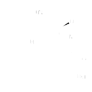 CCc1cc(C)c2c(c1)[C@H]1CNC[C@@H]1N(C)C2=O.Cl